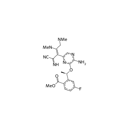 CNC/C(NC)=C(/C(=N)C#N)c1cnc(N)c(O[C@H](C)c2cc(F)ccc2C(=O)OC)n1